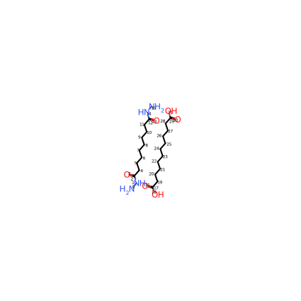 NNC(=O)CCCCCCCCC(=O)NN.O=C(O)CCCCCCCCCCC(=O)O